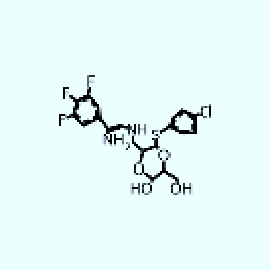 N/C(=C\NCC1OC(O)C(CO)OC1Sc1ccc(Cl)cc1)c1cc(F)c(F)c(F)c1